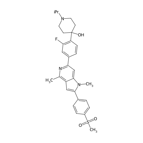 Cc1nc(-c2ccc(C3(O)CCN(C(C)C)CC3)c(F)c2)cc2c1cc(-c1ccc(S(C)(=O)=O)cc1)n2C